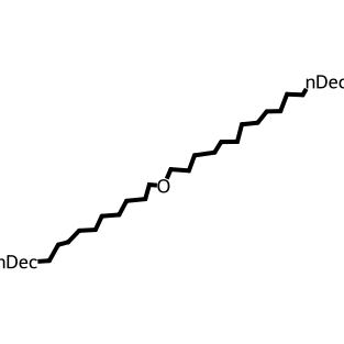 CCCCCCCCCCCCCCCCCCCCCCOCCCCCCCCCCCCCCCCCCCC